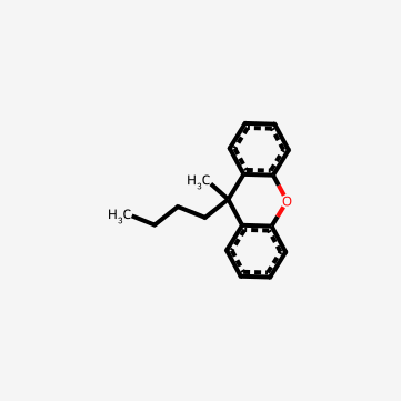 CCCCC1(C)c2ccccc2Oc2ccccc21